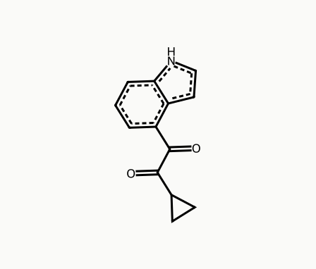 O=C(C(=O)C1CC1)c1cccc2[nH]ccc12